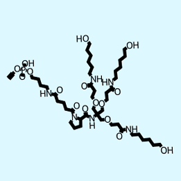 C#COP(=O)(O)OCCCCNC(=O)CCCC(=O)N1CCCC1C(=O)NC(COCCC(=O)NCCCCCCO)(COCCC(=O)NCCCCCCO)COCCC(=O)NCCCCCCO